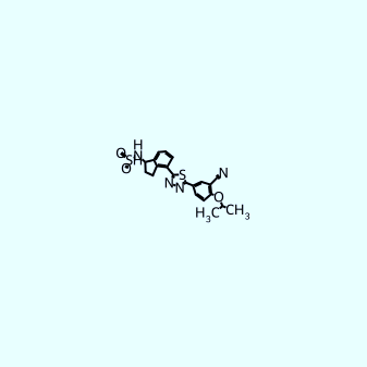 CC(C)Oc1ccc(-c2nnc(-c3cccc4c3CCC4N[SH](=O)=O)s2)cc1C#N